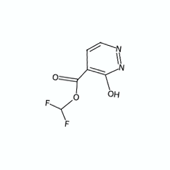 O=C(OC(F)F)c1ccnnc1O